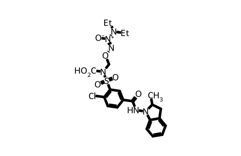 CCN(CC)[N+]([O-])=NOCN(C(=O)O)S(=O)(=O)c1cc(C(=O)NN2c3ccccc3CC2C)ccc1Cl